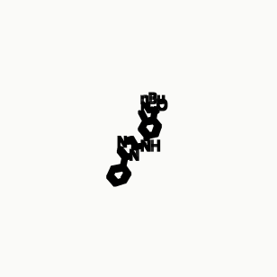 CCCCN1Cc2cc(Nc3cncc(-c4ccccc4)n3)ccc2C1=O